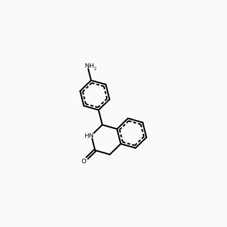 Nc1ccc(C2NC(=O)Cc3ccccc32)cc1